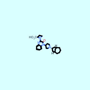 O=C(O)[C@H]1CCN1c1nc2ccccc2n(C2CCN([C@@H]3C[C@@H]4CCCC[C@@H](C4)C3)CC2)c1=O